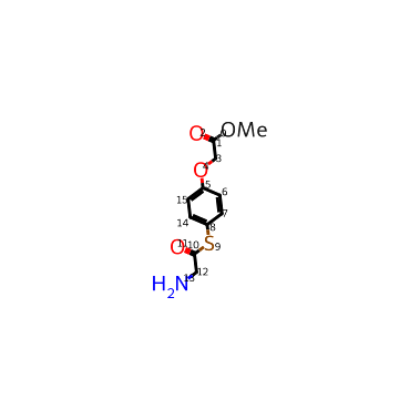 COC(=O)COc1ccc(SC(=O)CN)cc1